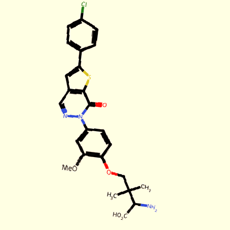 COc1cc(-n2ncc3cc(-c4ccc(Cl)cc4)sc3c2=O)ccc1OCC(C)(C)C(N)C(=O)O